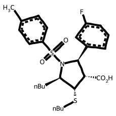 CCCCS[C@H]1[C@@H](C(=O)O)[C@H](c2cccc(F)c2)N(S(=O)(=O)c2ccc(C)cc2)[C@@H]1CCCC